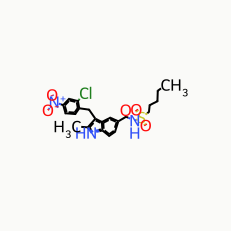 CCCCCS(=O)(=O)NC(=O)c1ccc2[nH]c(C)c(Cc3ccc([N+](=O)[O-])cc3Cl)c2c1